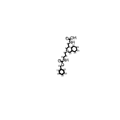 O=C(O)NCCCN(CCCNC(=O)OCc1ccccc1)CC1CCCCC1